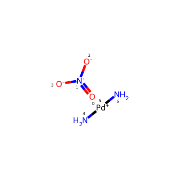 O=[N+]([O-])[O-].[NH2][Pd+][NH2]